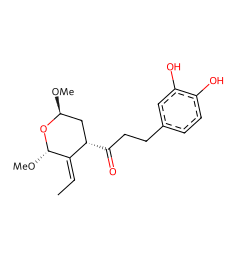 C/C=C1\[C@H](OC)O[C@@H](OC)C[C@@H]1C(=O)CCc1ccc(O)c(O)c1